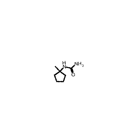 CC1(NC(N)=O)CCCC1